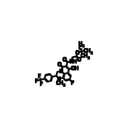 CN1c2cc(F)cc3c(O)c(C(=O)NCC(=O)OC(C)(C)C)c(=O)n(c23)CC1c1ccc(C(F)(F)F)cc1